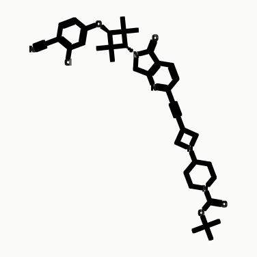 CC(C)(C)OC(=O)N1CCC(N2CC(C#Cc3ccc4c(n3)CN([C@H]3C(C)(C)[C@H](Oc5ccc(C#N)c(Cl)c5)C3(C)C)C4=O)C2)CC1